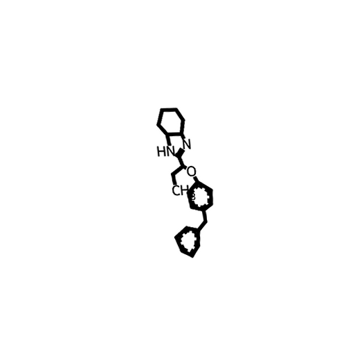 CCC(Oc1ccc(Cc2ccccc2)cc1)C1=NC2CCCCC2N1